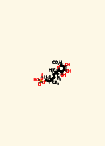 CC(C)(CCOP(=O)(O)O)CCC(C)(C)C1OC(C(=O)O)C(O)C(O)C1O